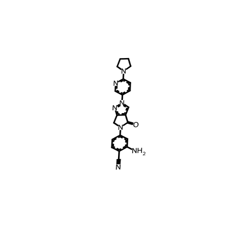 N#Cc1ccc(N2Cc3nn(-c4ccc(N5CCCC5)nc4)cc3C2=O)cc1N